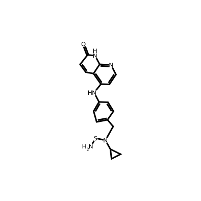 NSN(Cc1ccc(Nc2ccnc3[nH]c(=O)ccc23)cc1)C1CC1